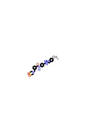 Cc1ccc(Cc2nc(-c3ccc(NC(=O)c4cccc(CN5CCS(=O)(=O)CC5)c4)cc3)n[nH]2)cc1